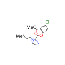 CNCCn1ccnc1COc1ccc(Cl)cc1C(=O)OC